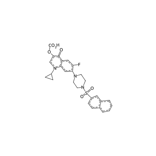 O=C(O)Oc1cn(C2CC2)c2cc(N3CCN(S(=O)(=O)c4ccc5ccccc5c4)CC3)c(F)cc2c1=O